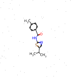 Cc1ccc(C(=O)Nc2ncc(C(C)C)s2)cc1